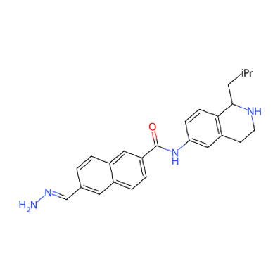 CC(C)CC1NCCc2cc(NC(=O)c3ccc4cc(C=NN)ccc4c3)ccc21